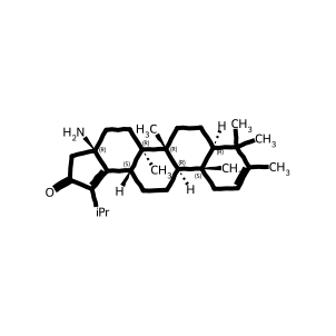 CC1=CC[C@]2(C)[C@H]3CC[C@@H]4C5=C(C(C)C)C(=O)C[C@]5(N)CC[C@@]4(C)[C@]3(C)CC[C@H]2C1(C)C